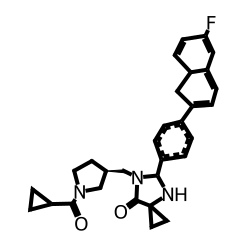 O=C(C1CC1)N1CC[C@@H](CN2C(=O)C3(CC3)NC2c2ccc(C3=CC=C4C=C(F)C=CC4C3)cc2)C1